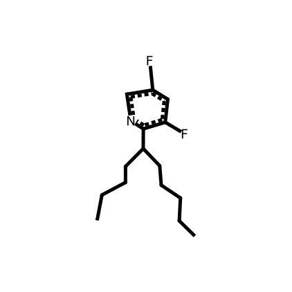 CCCCCC(CCCC)c1ncc(F)cc1F